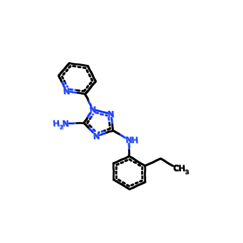 CCc1ccccc1Nc1nc(N)n(-c2ccccn2)n1